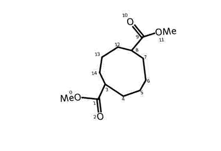 COC(=O)C1CCCCC(C(=O)OC)CCC1